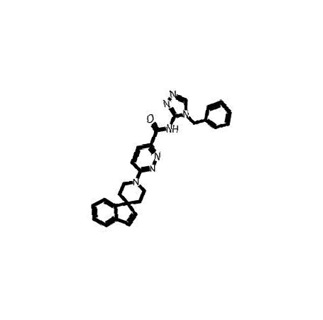 O=C(Nc1nncn1Cc1ccccc1)c1ccc(N2CCC3(C=Cc4ccccc43)CC2)nn1